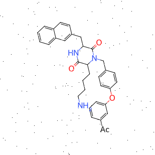 CC(=O)c1cccc(Oc2ccc(CN3C(=O)C(Cc4ccc5ccccc5c4)NC(=O)C3CCCCN)cc2)c1